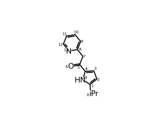 CC(C)c1ccc(C(=O)Cc2ccccn2)[nH]1